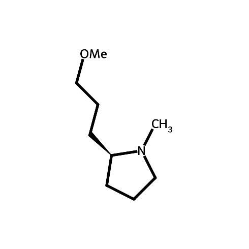 COCCC[C@@H]1CCCN1C